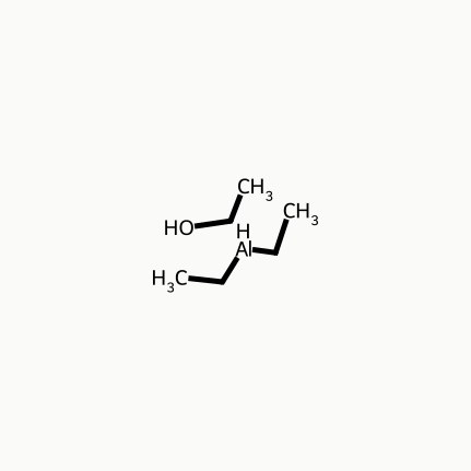 CCO.C[CH2][AlH][CH2]C